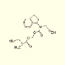 C#CCN(C(=O)OCOC(=O)C(C)CC(C)(C)C)C1CCc2ccccc21